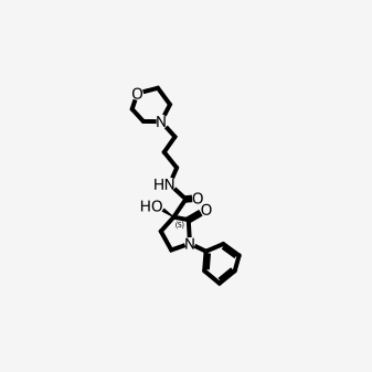 O=C(NCCCN1CCOCC1)[C@@]1(O)CCN(c2ccccc2)C1=O